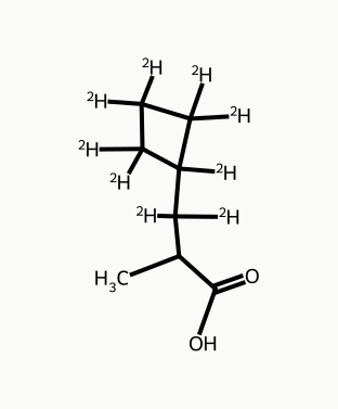 [2H]C([2H])(C(C)C(=O)O)C1([2H])C([2H])([2H])C([2H])([2H])C1([2H])[2H]